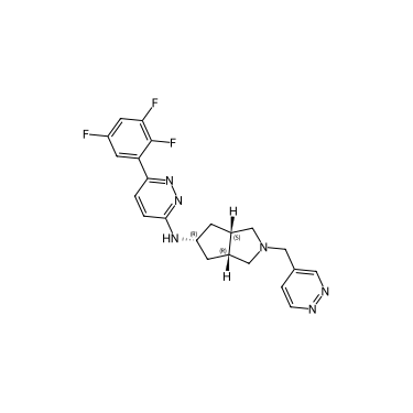 Fc1cc(F)c(F)c(-c2ccc(N[C@@H]3C[C@@H]4CN(Cc5ccnnc5)C[C@@H]4C3)nn2)c1